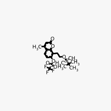 Cc1cc(=O)oc2c(CCO[Si](C)(C)C(C)(C)C)c(OS(=O)(=O)C(F)(F)F)ccc12